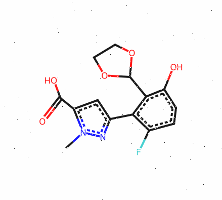 Cn1nc(-c2c(F)ccc(O)c2C2OCCO2)cc1C(=O)O